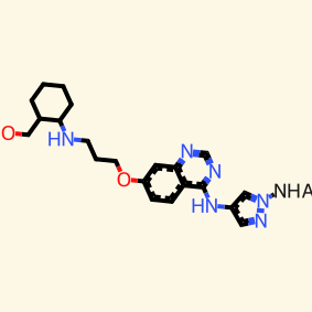 CC(=O)Nn1cc(Nc2ncnc3cc(OCCCNC4CCCCC4CO)ccc23)cn1